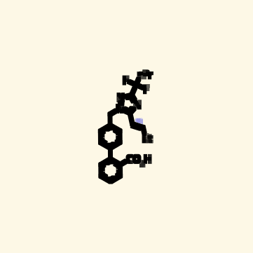 CC/C=C/c1nc(C(F)(F)CCC)nn1Cc1ccc(-c2ccccc2C(=O)O)cc1